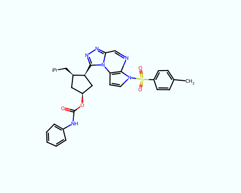 Cc1ccc(S(=O)(=O)n2ccc3c2ncc2nnc([C@H]4C[C@@H](OC(=O)Nc5ccccc5)C[C@H]4CC(C)C)n23)cc1